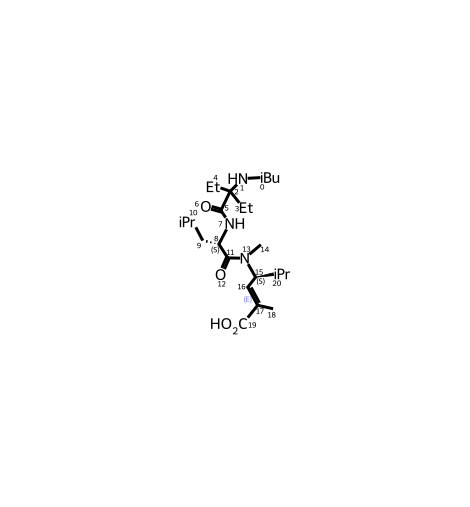 CCC(C)NC(CC)(CC)C(=O)N[C@@H](CC(C)C)C(=O)N(C)[C@H](/C=C(\C)C(=O)O)C(C)C